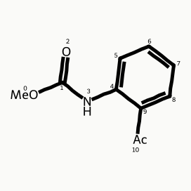 [CH2]OC(=O)Nc1ccccc1C(C)=O